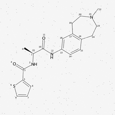 C[C@H](NC(=O)c1cccs1)C(=O)Nc1ccc2c(c1)CCN(C)CC2